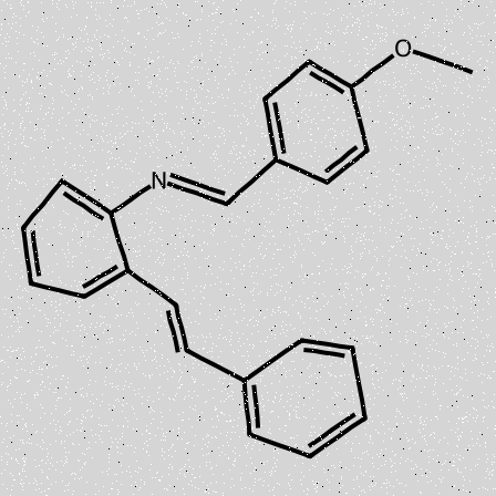 COc1ccc(C=Nc2ccccc2C=Cc2ccccc2)cc1